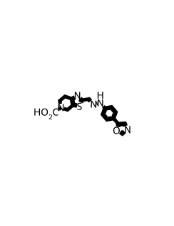 O=C(O)N1CCc2nc(C=NNc3ccc(-c4cnco4)cc3)sc2C1